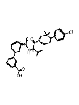 CC(C)[C@@H](NC(=O)c1cccc(-c2cccc(C(=O)O)c2)c1)C(=O)N1CCC(c2ccc(Cl)cc2)C(C)(C)C1